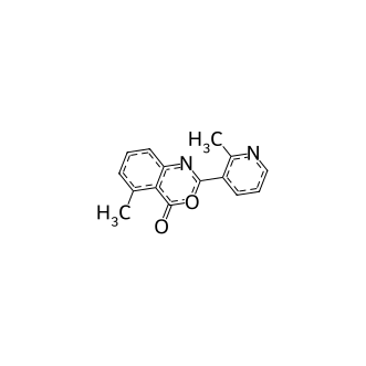 Cc1ncccc1-c1nc2cccc(C)c2c(=O)o1